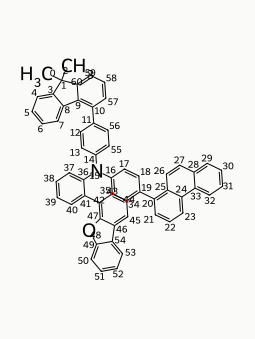 CC1(C)c2ccccc2-c2c(-c3ccc(N(c4ccc(-c5cccc6c5ccc5ccccc56)cc4)c4ccccc4-c4cccc5c4oc4ccccc45)cc3)cccc21